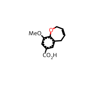 COc1cc(C(=O)O)cc2c1OCC=CC2